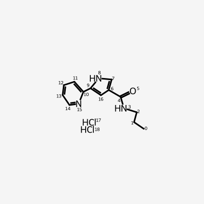 CCCNC(=O)c1c[nH]c(-c2ccccn2)c1.Cl.Cl